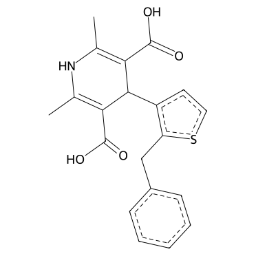 CC1=C(C(=O)O)C(c2ccsc2Cc2ccccc2)C(C(=O)O)=C(C)N1